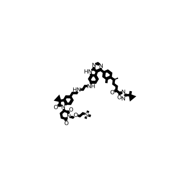 Cc1cc(-c2ncnc3[nH]c4cc(NCCNCCc5ccc6c(c5)C5(CC5)C(=O)N6C5CCC(=O)N(COCC[Si](C)(C)C)C5=O)ccc4c23)ccc1[C@@H](C)CCC(=O)c1nc(C2(C)CC2)no1